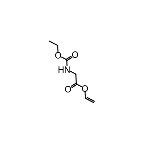 C=COC(=O)CNC(=O)OCC